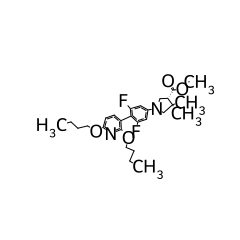 CCCCOc1ccc(-c2c(F)cc(N3C[C@H](C(=O)OC)C(C)(C)C3)cc2F)c(OCCCC)n1